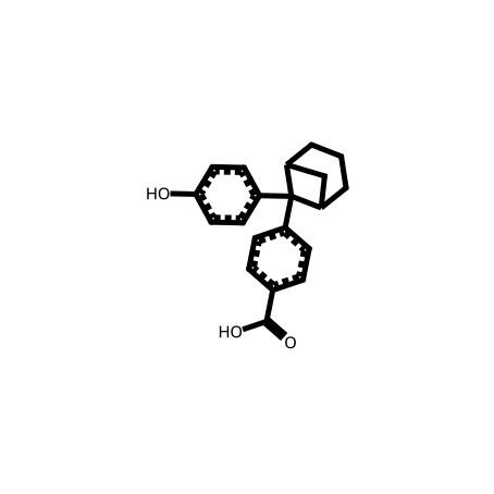 O=C(O)c1ccc(C2(c3ccc(O)cc3)C3CCCC2C3)cc1